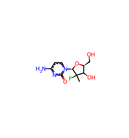 CC1(F)C(O)[C@H](CO)O[C@@H]1n1ccc(N)nc1=O